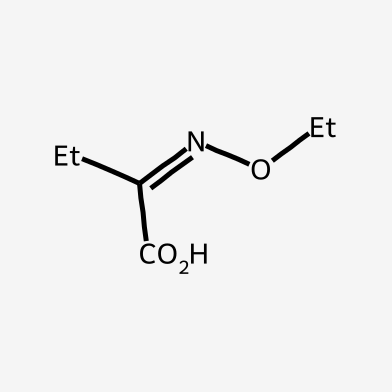 CCON=C(CC)C(=O)O